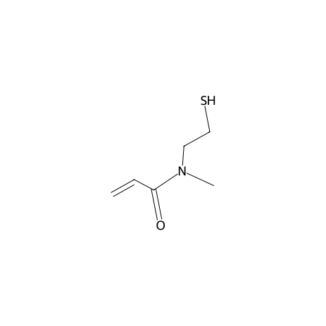 C=CC(=O)N(C)CCS